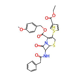 CCOC(=O)C1=C[SH](C2=C(C(=O)OCc3ccc(OC)cc3)N3C(=O)C(NC(=O)Cc4ccccc4)C3SC2)C=C1